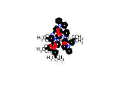 CC(C)(C)c1ccc(N2c3cc(-n4c5ccc(C(C)(C)C)cc5c5cc(C(C)(C)C)ccc54)ccc3B3c4ccc(-c5cc(C(C)(C)C)ccc5-n5c6ccccc6c6ccccc65)cc4N(c4ccccc4-c4ccccc4)c4cc(-c5cc(-n6c7ccccc7c7ccccc76)ccc5C#N)cc2c43)c(-c2ccccc2)c1